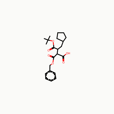 CC(C)(C)OC(=O)C(CC1CCCC1)C(C(=O)O)C(=O)OCc1ccccc1